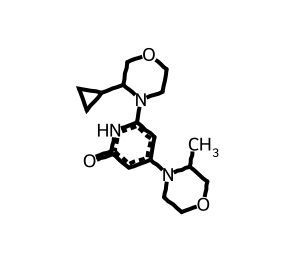 CC1COCCN1c1cc(N2CCOCC2C2CC2)[nH]c(=O)c1